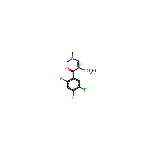 CCOC(=O)/C(=C/N(C)C)C(=O)c1cc(F)c(F)cc1F